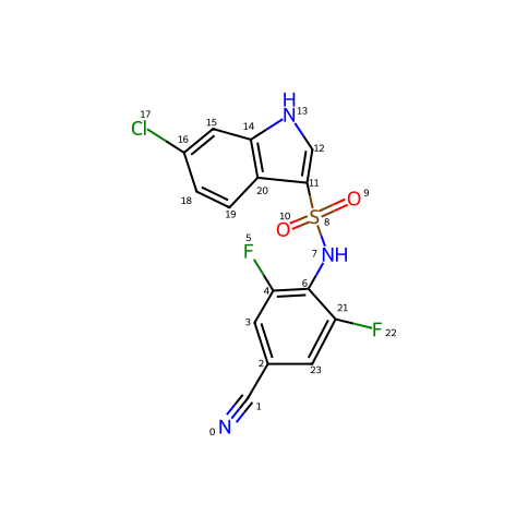 N#Cc1cc(F)c(NS(=O)(=O)c2c[nH]c3cc(Cl)ccc23)c(F)c1